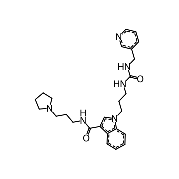 O=C(NCCCn1cc(C(=O)NCCCN2CCCC2)c2ccccc21)NCc1cccnc1